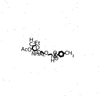 CC[C@H]1O[C@@H](OCCOCCNS(=O)(=O)c2ccc(C)cc2)[C@H](NC(C)=O)[C@@H](OC(C)=O)[C@H]1C